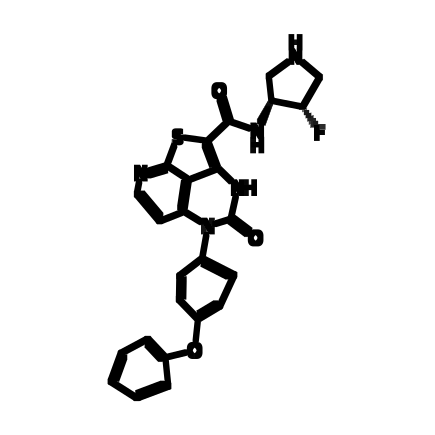 O=C(N[C@H]1CNC[C@@H]1F)c1sc2nccc3c2c1NC(=O)N3c1ccc(Oc2ccccc2)cc1